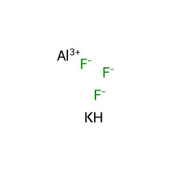 [Al+3].[F-].[F-].[F-].[KH]